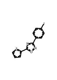 Ic1ccc(-c2noc(-c3cccs3)n2)cc1